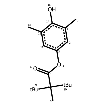 Cc1cc(OC(=O)C(C)(C(C)(C)C)C(C)(C)C)cc(C)c1O